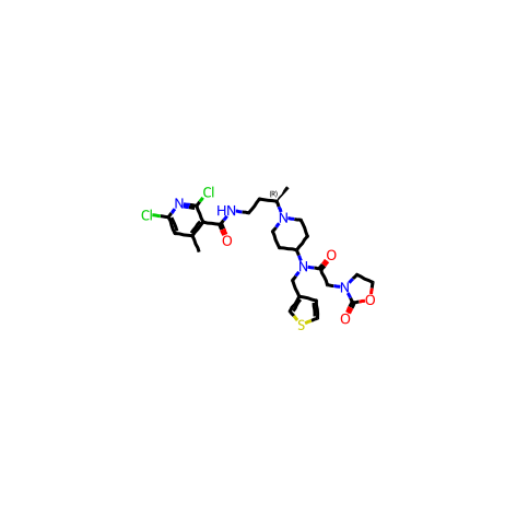 Cc1cc(Cl)nc(Cl)c1C(=O)NCC[C@@H](C)N1CCC(N(Cc2ccsc2)C(=O)CN2CCOC2=O)CC1